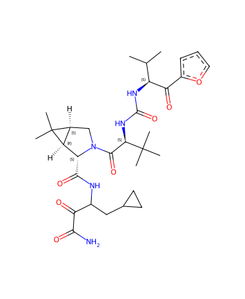 CC(C)[C@H](NC(=O)N[C@H](C(=O)N1C[C@H]2[C@@H]([C@H]1C(=O)NC(CC1CC1)C(=O)C(N)=O)C2(C)C)C(C)(C)C)C(=O)c1ccco1